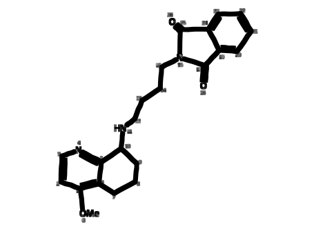 COc1ccnc2c1CCCC2NCCCCN1C(=O)c2ccccc2C1=O